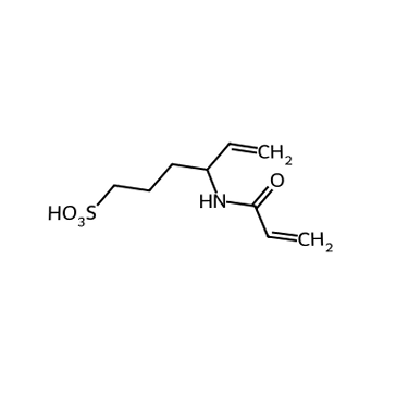 C=CC(=O)NC(C=C)CCCS(=O)(=O)O